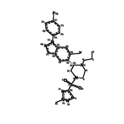 CCCN1CCN(S(=O)(=O)c2cnn(C)n2)C[C@@H]1c1cc2cnn(-c3ccc(F)cc3)c2cc1C